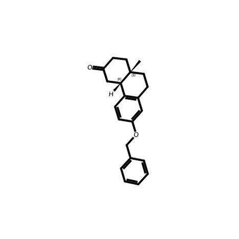 C[C@]12CCC(=O)C[C@H]1c1ccc(OCc3ccccc3)cc1CC2